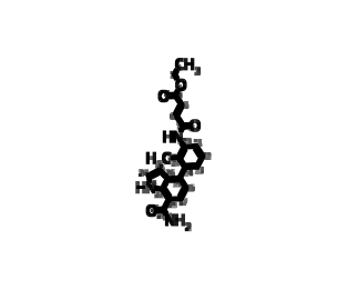 CCOC(=O)C=CC(=O)Nc1cccc(-c2ccc(C(N)=O)c3[nH]ccc23)c1C